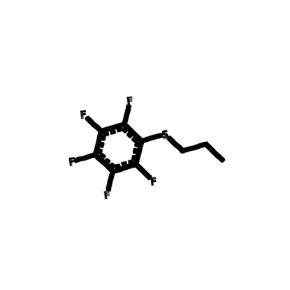 CCCSc1c(F)c(F)c(F)c(F)c1F